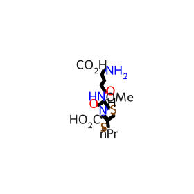 CCCSCC1=C(C(=O)O)N2C(=O)[C@](NC(=O)CCCC(N)C(=O)O)(OC)[C@@H]2SC1